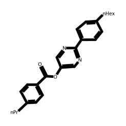 CCCCCCc1ccc(-c2ncc(OC(=O)c3ccc(CCC)cc3)cn2)cc1